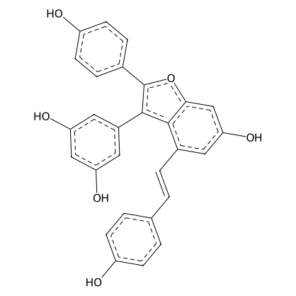 Oc1ccc(/C=C/c2cc(O)cc3oc(-c4ccc(O)cc4)c(-c4cc(O)cc(O)c4)c23)cc1